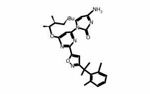 CC[C@H](C)C[C@H](C)[C@H](C)Oc1cc(-n2ccc(N)nc2=O)nc(-c2cc(C(C)(C)c3c(C)cccc3C)no2)n1